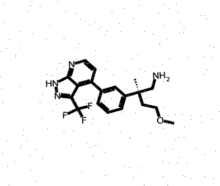 COCC[C@](C)(CN)c1cccc(-c2ccnc3[nH]nc(C(F)(F)F)c23)c1